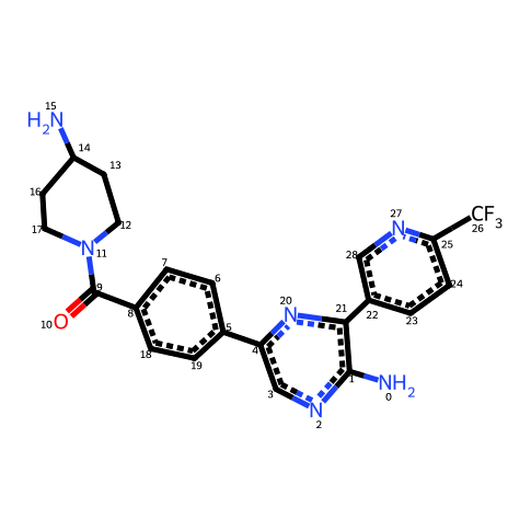 Nc1ncc(-c2ccc(C(=O)N3CCC(N)CC3)cc2)nc1-c1ccc(C(F)(F)F)nc1